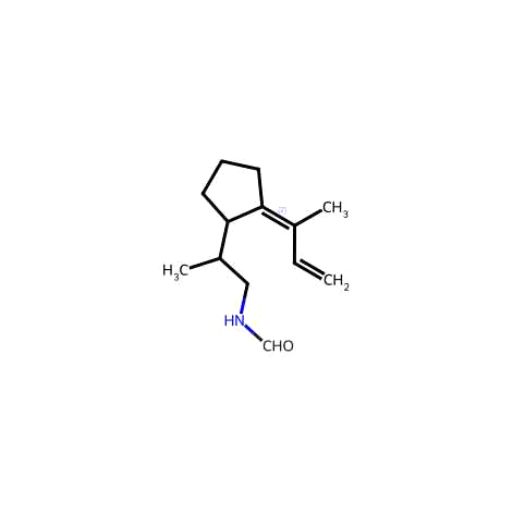 C=C/C(C)=C1/CCCC1C(C)CNC=O